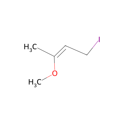 CO/C(C)=C\CI